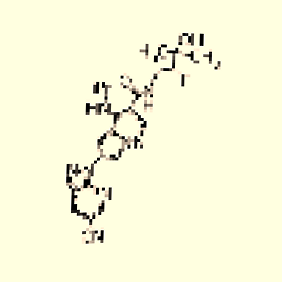 CC(C)Nc1c(C(=O)NC[C@@H](F)C(C)(C)O)cnn2cc(-n3ncc4cc(C#N)cnc43)cc12